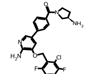 Nc1ncc(-c2ccc(C(=O)N3CC[C@@H](N)C3)cc2)cc1OCc1c(F)ccc(F)c1Cl